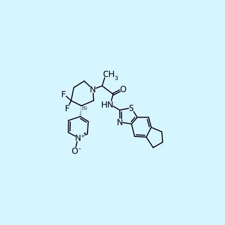 CC(C(=O)Nc1nc2cc3c(cc2s1)CCC3)N1CCC(F)(F)[C@@H](c2cc[n+]([O-])cc2)C1